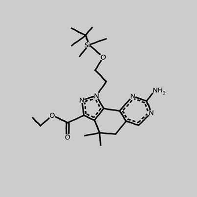 CCOC(=O)c1nn(CCO[Si](C)(C)C(C)(C)C)c2c1C(C)(C)Cc1cnc(N)nc1-2